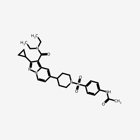 CCN(CC)C(=O)c1c(C2CC2)nn2ccc(C3CCN(S(=O)(=O)c4ccc(NC(C)=O)cc4)CC3)cc12